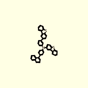 c1cc(-c2ccc3sc4ccccc4c3c2)cc(N(c2ccc(-c3cccc4ccccc34)cc2)c2ccc3sc4ccccc4c3c2)c1